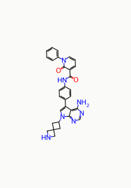 Nc1ncnc2c1c(-c1ccc(NC(=O)c3cccn(-c4ccccc4)c3=O)cc1)cn2C1CC2(CNC2)C1